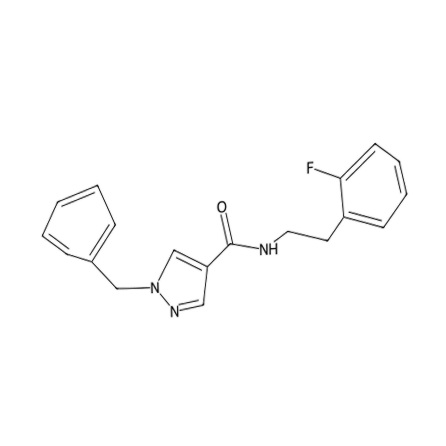 O=C(NCCc1ccccc1F)c1cnn(Cc2ccccc2)c1